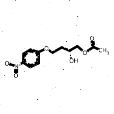 CC(=O)OC[C@H](O)CCOc1ccc([N+](=O)[O-])cc1